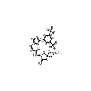 CN1CC2(CC(=O)N(NC(=O)/C=C\n3cnc(-c4cc(C(F)(F)F)cc(C(F)(F)F)c4)n3)C2)C1